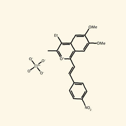 CCc1c(C)[o+]c(/C=C/c2ccc([N+](=O)[O-])cc2)c2cc(OC)c(OC)cc12.[O-][Cl+3]([O-])([O-])[O-]